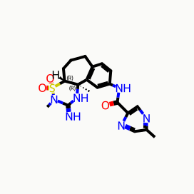 Cc1cnc(C(=O)Nc2ccc3c(c2)[C@@]2(C)NC(=N)N(C)S(=O)(=O)[C@@H]2CCC3)cn1